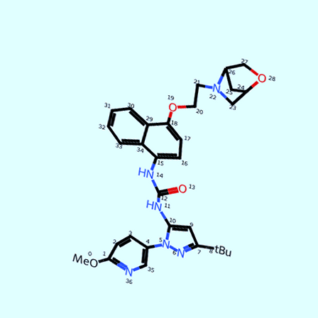 COc1ccc(-n2nc(C(C)(C)C)cc2NC(=O)Nc2ccc(OCCN3CC4CC3CO4)c3ccccc23)cn1